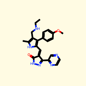 CCNCc1c(C)[nH]c(C=C2C(=O)NN=C2c2cnccn2)c1-c1ccc(OC)cc1